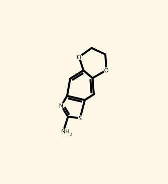 Nc1nc2cc3c(cc2s1)OCCO3